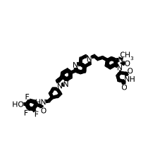 Cn1c(=O)n([C@@H]2CCC(=O)NC2=O)c2ccc(CCCN3CCc4nc(-c5ccc6cn(C7CCC(CNC(=O)c8cc(F)c(O)c(F)c8F)CC7)nc6c5)ccc4C3)cc21